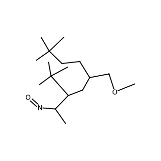 COCC(CCC(C)(C)C)CC(C(C)N=O)C(C)(C)C